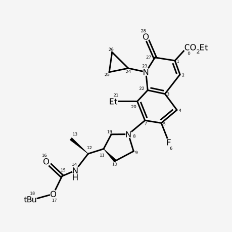 CCOC(=O)c1cc2cc(F)c(N3CC[C@@H]([C@H](C)NC(=O)OC(C)(C)C)C3)c(CC)c2n(C2CC2)c1=O